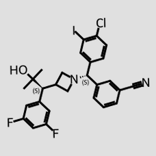 CC(C)(O)[C@H](c1cc(F)cc(F)c1)C1CN([C@@H](c2cccc(C#N)c2)c2ccc(Cl)c(I)c2)C1